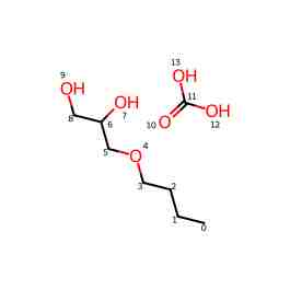 CCCCOCC(O)CO.O=C(O)O